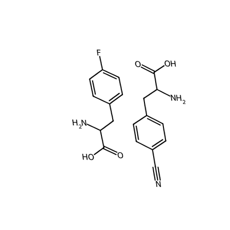 N#Cc1ccc(CC(N)C(=O)O)cc1.NC(Cc1ccc(F)cc1)C(=O)O